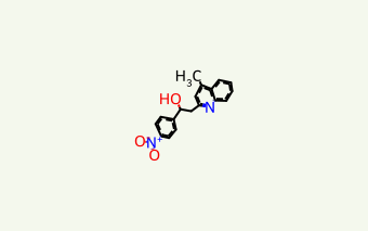 Cc1cc(CC(O)c2ccc([N+](=O)[O-])cc2)nc2ccccc12